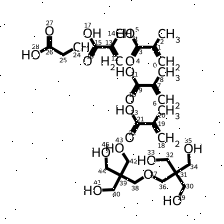 C=C(C)C(=O)O.C=C(C)C(=O)O.C=C(C)C(=O)O.C=C(C)C(=O)O.CCC(=O)O.OCC(CO)(CO)COCC(CO)(CO)CO